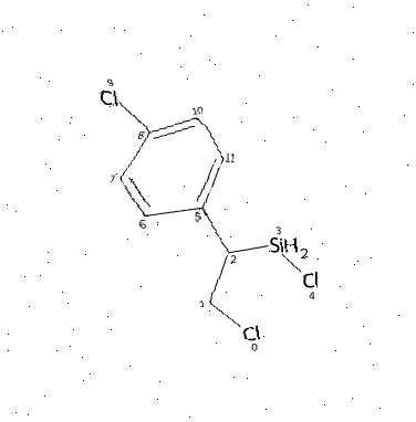 ClCC([SiH2]Cl)c1ccc(Cl)cc1